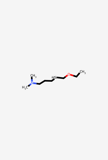 CCOC[SiH]CCCN(C)C